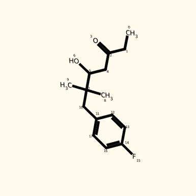 CCC(=O)CC(O)C(C)(C)Cc1ccc(F)cc1